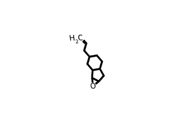 C=CCC1CCC2CC3OC3C2C1